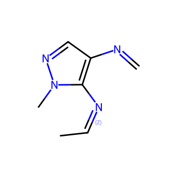 C=Nc1cnn(C)c1/N=C\C